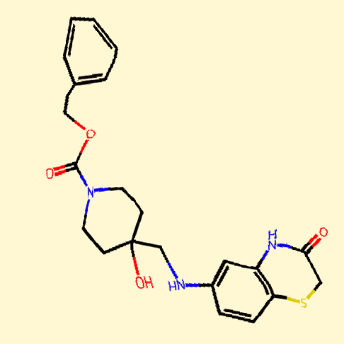 O=C1CSc2ccc(NCC3(O)CCN(C(=O)OCc4ccccc4)CC3)cc2N1